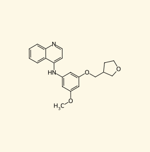 COc1cc(Nc2ccnc3ccccc23)cc(OCC2CCOC2)c1